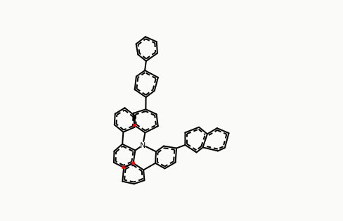 c1ccc(-c2ccc(-c3ccc(N(c4ccccc4-c4ccccc4)c4cc(-c5ccc6ccccc6c5)ccc4-c4ccccc4)cc3)cc2)cc1